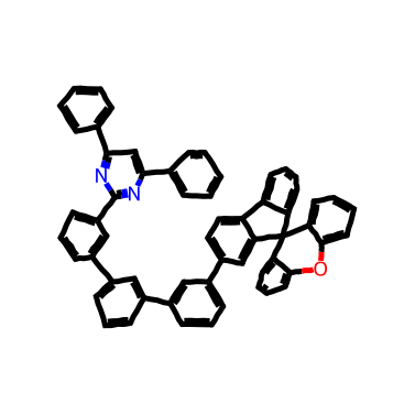 c1ccc(-c2cc(-c3ccccc3)nc(-c3cccc(-c4cccc(-c5cccc(-c6ccc7c(c6)C6(c8ccccc8Oc8ccccc86)c6ccccc6-7)c5)c4)c3)n2)cc1